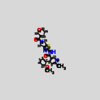 COc1ccccc1-c1cc(C)ncc1C(=O)Nc1nc2c(s1)CN(C(=O)[C@@H]1CCCOC1)C2